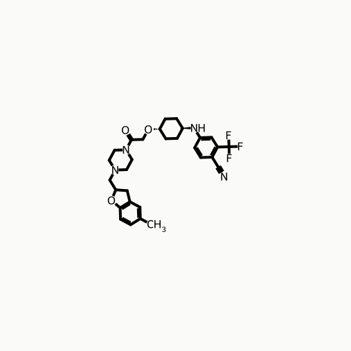 Cc1ccc2c(c1)CC(CN1CCN(C(=O)CO[C@H]3CC[C@H](Nc4ccc(C#N)c(C(F)(F)F)c4)CC3)CC1)O2